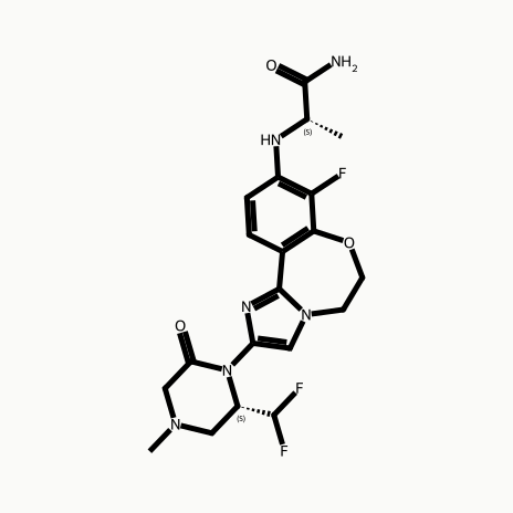 C[C@H](Nc1ccc2c(c1F)OCCn1cc(N3C(=O)CN(C)C[C@H]3C(F)F)nc1-2)C(N)=O